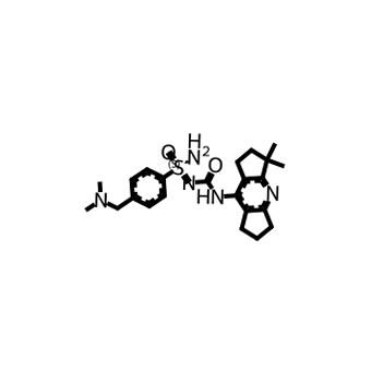 CN(C)Cc1ccc([S@@](N)(=O)=NC(=O)Nc2c3c(nc4c2CCC4(C)C)CCC3)cc1